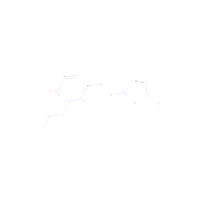 Cc1cc(CCN2CC[C@H](F)C2)nn([C@@H](CC(C)C)C(=O)O)c1=O